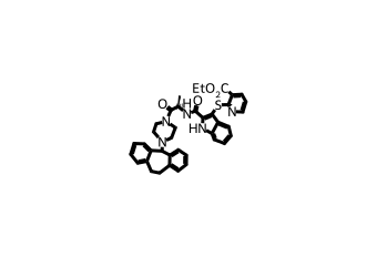 CCOC(=O)c1cccnc1Sc1c(C(=O)N[C@H](C)C(=O)N2CCN(C3c4ccccc4CCc4ccccc43)CC2)[nH]c2ccccc12